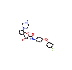 CN1CCN(c2cccc3c(=O)cc(C(=O)Nc4ccc(Oc5ccc(F)cc5)cc4)oc23)CC1